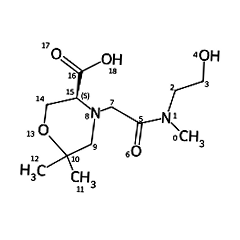 CN(CCO)C(=O)CN1CC(C)(C)OC[C@H]1C(=O)O